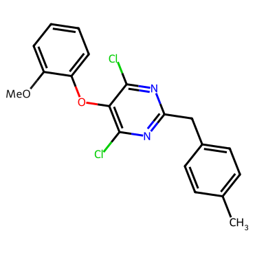 COc1ccccc1Oc1c(Cl)nc(Cc2ccc(C)cc2)nc1Cl